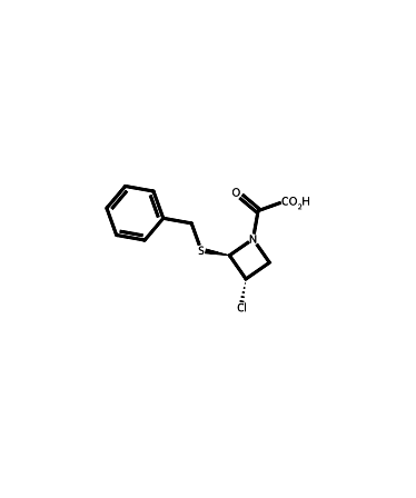 O=C(O)C(=O)N1C[C@H](Cl)[C@H]1SCc1ccccc1